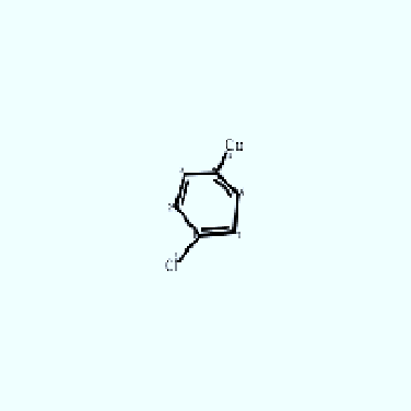 Clc1cc[c]([Co])cc1